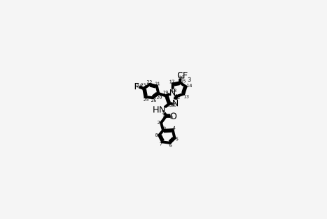 O=C(Cc1ccccc1)Nc1nc2ccc(C(F)(F)F)cn2c1-c1ccc(F)cc1